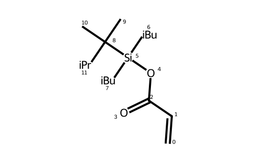 C=CC(=O)O[Si](C(C)CC)(C(C)CC)C(C)(C)C(C)C